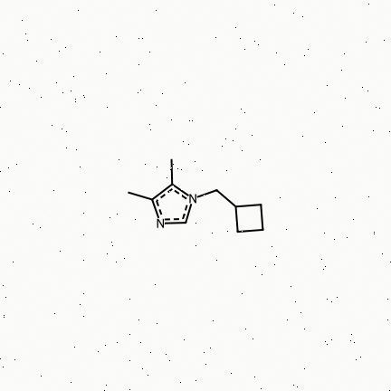 Cc1ncn(CC2CCC2)c1C